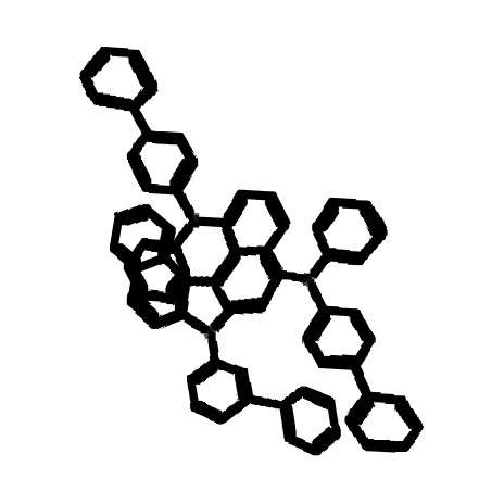 c1ccc(-c2ccc(N(c3ccccc3)c3cc4c(c5c(N(c6ccccc6)c6ccc(-c7ccccc7)cc6)cccc35)c3c5ccccc5ccc3n4-c3cccc(-c4ccccc4)c3)cc2)cc1